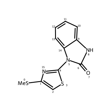 CSc1csc(-n2c(=O)[nH]c3ccccc32)n1